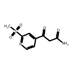 CS(=O)(=O)c1cc(C(=O)CC(N)=O)ccn1